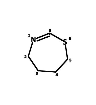 [C]1=NCCCCS1